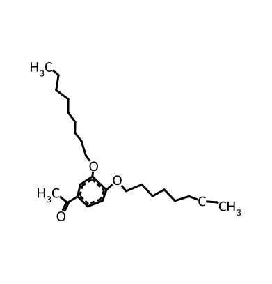 CCCCCCCCCOc1ccc(C(C)=O)cc1OCCCCCCCCC